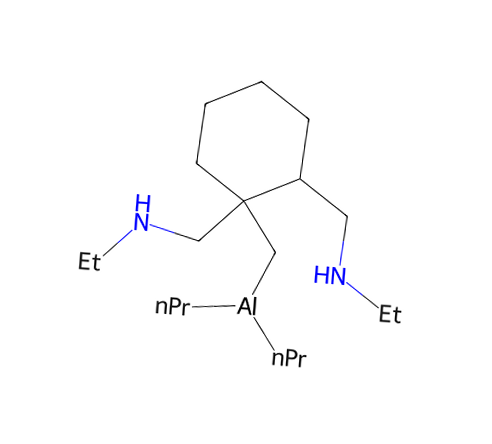 CC[CH2][Al]([CH2]CC)[CH2]C1(CNCC)CCCCC1CNCC